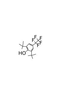 CC(C)(C)c1cc(C(F)(F)C(F)(F)F)cc(C(C)(C)C)c1O